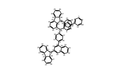 c1ccc(-c2ccc(N(c3ccc(-c4cc(-n5c6ccccc6c6ccccc65)cc5ccccc45)cc3)c3cccc4c5ccccc5n(-c5ccccc5)c34)cc2)cc1